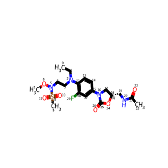 CCN(CCN(OC)S(C)(=O)=O)c1ccc(N2C[C@H](CNC(C)=O)OC2=O)cc1F